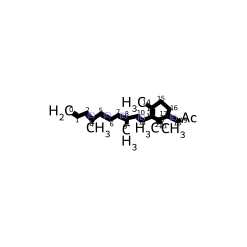 C=C/C=C(C)/C=C/C=C(C)/C=C/C1=C(C)CC/C(=C\C(C)=O)C1(C)C